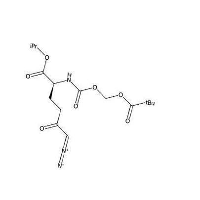 CC(C)OC(=O)[C@H](CCC(=O)C=[N+]=[N-])NC(=O)OCOC(=O)C(C)(C)C